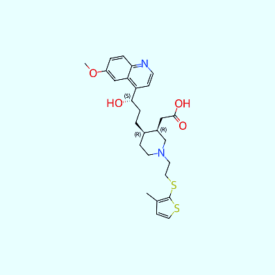 COc1ccc2nccc([C@@H](O)CC[C@@H]3CCN(CCSc4sccc4C)C[C@@H]3CC(=O)O)c2c1